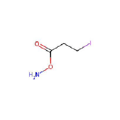 NOC(=O)CCI